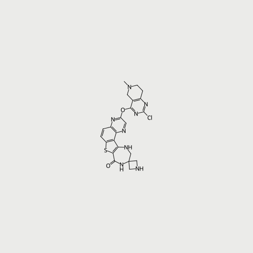 CN1CCc2nc(Cl)nc(Oc3cnc4c(ccc5sc6c(c54)NCC4(CNC4)NC6=O)n3)c2C1